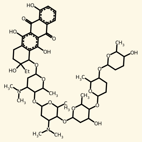 CCC1(O)CCc2c(O)c3c(c(O)c2C1OC1CC(N(C)C)C(OC2CC(N(C)C)C(OC4CC(O)C(OC5CCC(OC6CCC(O)C(C)O6)C(C)O5)C(C)O4)C(C)O2)C(C)O1)C(=O)c1cccc(O)c1C3=O